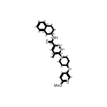 COc1ccc(OC2CCN(c3nnc(C(=O)N[C@@H]4CCc5ccccc5C4)cc3C)CC2)cn1